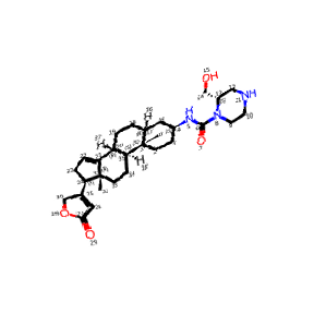 C[C@]12CC[C@H](NC(=O)N3CCNC[C@H]3CO)C[C@H]1CC[C@H]1C3=CC[C@H](C4=CC(=O)OC4)[C@@]3(C)CC[C@@H]12